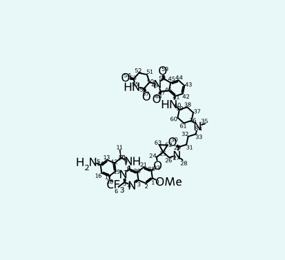 COc1cc2nc(C)nc(N[C@H](C)c3cc(N)cc(C(F)(F)F)c3)c2cc1OCC1(CN(C)C(=O)CCCN(C)C2CCC(Nc3cccc4c3C(=O)N(C3CCC(=O)NC3=O)C4=O)CC2)CC1